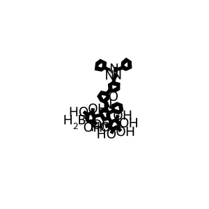 Bc1c(O)c(O)c(-c2cc(-c3c(O)c(O)c(O)c(O)c3O)c3c4ccccc4n(-c4cccc5c4oc4ccc(-c6nc(-c7ccccc7)nc(-c7ccccc7)n6)cc45)c3c2)c(O)c1O